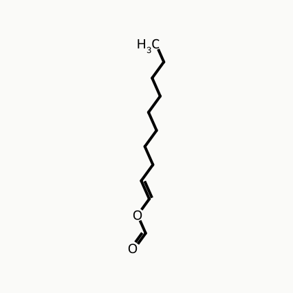 CCCCCCCCC=COC=O